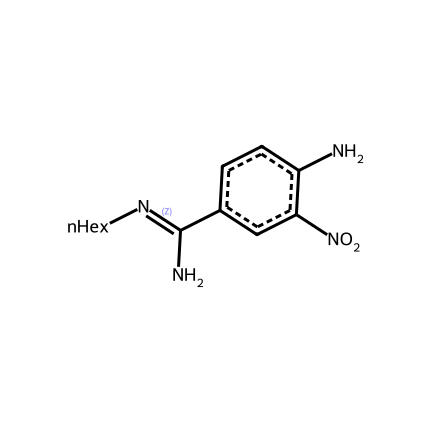 CCCCCC/N=C(\N)c1ccc(N)c([N+](=O)[O-])c1